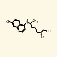 CCN(CO)CCCC(C)Nc1ccnc2cc(Cl)ccc12